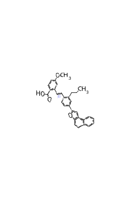 CCCc1cc(-c2cc3c(ccc4ccccc43)o2)ccc1/C=C/c1cc(OC)ccc1C(=O)O